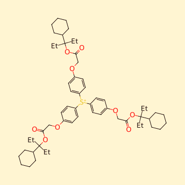 CCC(CC)(OC(=O)COc1ccc([S+](c2ccc(OCC(=O)OC(CC)(CC)C3CCCCC3)cc2)c2ccc(OCC(=O)OC(CC)(CC)C3CCCCC3)cc2)cc1)C1CCCCC1